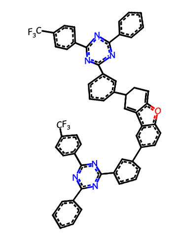 FC(F)(F)c1ccc(-c2nc(-c3ccccc3)nc(-c3cccc(-c4ccc5oc6c(c5c4)=CC(c4cccc(-c5nc(-c7ccccc7)nc(-c7ccc(C(F)(F)F)cc7)n5)c4)CC=6)c3)n2)cc1